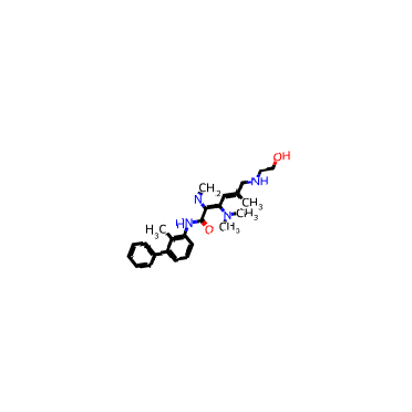 C=N/C(C(=O)Nc1cccc(-c2ccccc2)c1C)=C(\C=C(/C)CNCCO)N(C)C